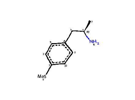 CSc1ccc(C[C@@H](C)N)cc1